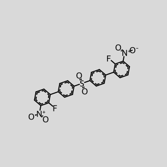 O=[N+]([O-])c1cccc(-c2ccc(S(=O)(=O)c3ccc(-c4cccc([N+](=O)[O-])c4F)cc3)cc2)c1F